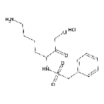 Cl.NCCCCC(NS(=O)(=O)Cc1ccccc1)C(=O)CCl